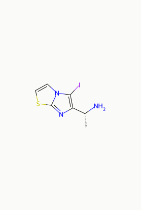 C[C@@H](N)c1nc2sccn2c1I